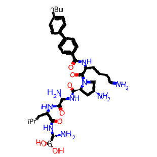 CCCCc1ccc(-c2ccc(C(=O)NC(CCCCN)C(=O)N3C[C@H](N)C[C@H]3C(=O)N[C@@H](N)C(=O)NC(CC(C)C)C(=O)N[C@@H](N)B(O)O)cc2)cc1